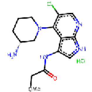 COCC(=O)Nc1c[nH]c2ncc(Cl)c(N3CCC[C@@H](N)C3)c12.Cl